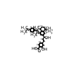 CN(C)c1ccc(CN(C)c2cc(C(O)C=Cc3ccc(C(=O)O)c(O)c3)cc3c2C(C)(C)CCC3(C)C)cc1